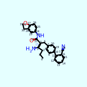 CCC/C(N)=C(\Cc1ccc(-c2ccccc2C#N)cc1)C(=O)Nc1ccc2c(c1)CCO2